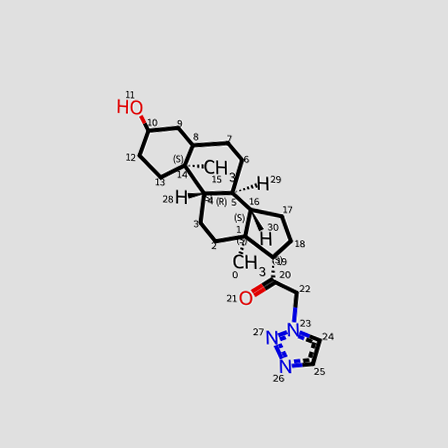 C[C@]12CC[C@H]3[C@@H](CCC4CC(O)CC[C@@]43C)[C@@H]1CC[C@@H]2C(=O)Cn1ccnn1